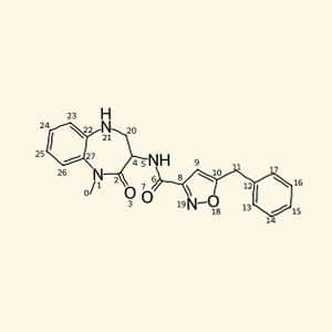 CN1C(=O)C(NC(=O)c2cc(Cc3ccccc3)on2)CNc2ccccc21